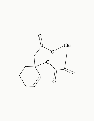 C=C(C)C(=O)OC1(CC(=O)OC(C)(C)C)C=CCCC1